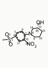 CS(=O)(=O)c1ccc(N2CCC[C@@H](O)C2)c([N+](=O)[O-])c1